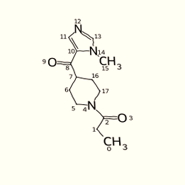 CCC(=O)N1CCC(C(=O)c2cncn2C)CC1